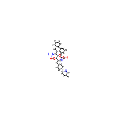 Cc1ccc(-c2ccc(C[C@H](NC(=O)O)[C@H](O)C[C@H](N)C(Cc3ccccc3)c3ccccc3)cc2)nc1